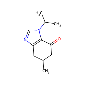 CC1CC(=O)c2c(ncn2C(C)C)C1